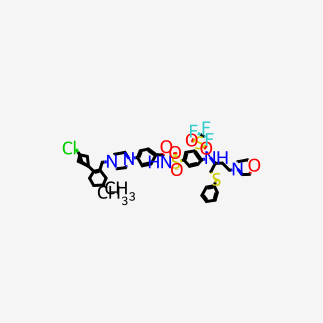 CC1(C)CCC(C23CC(Cl)(C2)C3)=C(CN2CCN(c3ccc(C(=O)NS(=O)(=O)c4ccc(NC(CCN5CCOCC5)CSc5ccccc5)c(S(=O)(=O)C(F)(F)F)c4)cc3)CC2)C1